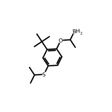 BC(C)Oc1ccc(SC(C)C)cc1C(C)(C)C